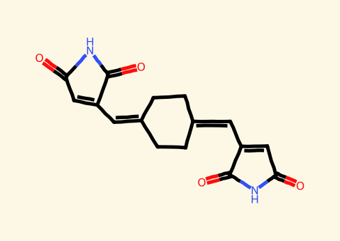 O=C1C=C(C=C2CCC(=CC3=CC(=O)NC3=O)CC2)C(=O)N1